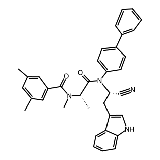 Cc1cc(C)cc(C(=O)N(C)[C@@H](C)C(=O)N(c2ccc(-c3ccccc3)cc2)[C@H](C#N)Cc2c[nH]c3ccccc23)c1